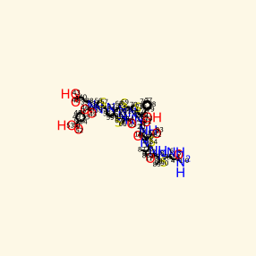 CNC(=O)C[C@H](N)c1nc(C(=O)NC(c2nc(C(=O)NCC(=O)N[C@H](c3nc(-c4nc(-c5nc(-c6nc(N(CCCC(=O)O)C(=O)OC7CCC(C(=O)O)CC7)cs6)ccc5-c5nc(C=O)cs5)cs4)cs3)[C@@H](O)c3ccccc3)c(COC)s2)C(C)C)c(C)s1